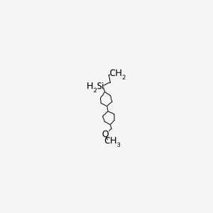 C=CC[SiH2]C1CCC(C2CCC(COC)CC2)CC1